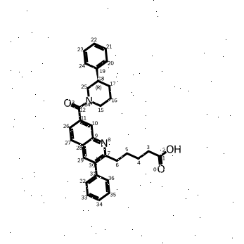 O=C(O)CCCCc1nc2cc(C(=O)N3CCC[C@H](c4ccccc4)C3)ccc2cc1-c1ccccc1